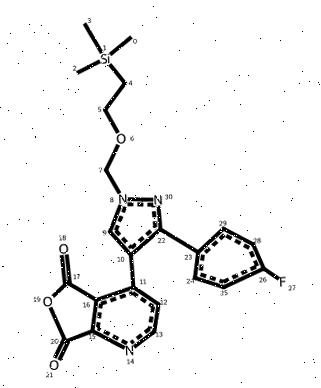 C[Si](C)(C)CCOCn1cc(-c2ccnc3c2C(=O)OC3=O)c(-c2ccc(F)cc2)n1